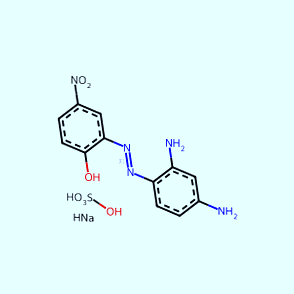 Nc1ccc(/N=N/c2cc([N+](=O)[O-])ccc2O)c(N)c1.O=S(=O)(O)O.[NaH]